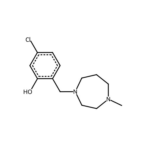 CN1CCCN(Cc2ccc(Cl)cc2O)CC1